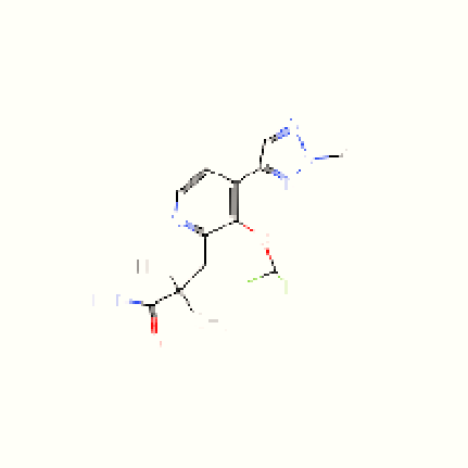 Cn1ncc(-c2ccnc(CC(C)(C)C(N)=O)c2OC(F)F)n1